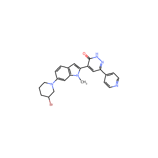 Cn1c(-c2cc(-c3ccncc3)n[nH]c2=O)cc2ccc(N3CCCC(Br)C3)cc21